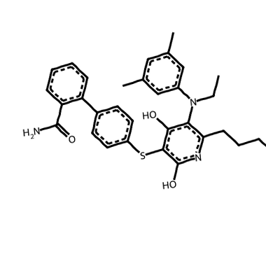 CCCCc1nc(O)c(Sc2ccc(-c3ccccc3C(N)=O)cc2)c(O)c1N(CC)c1cc(C)cc(C)c1